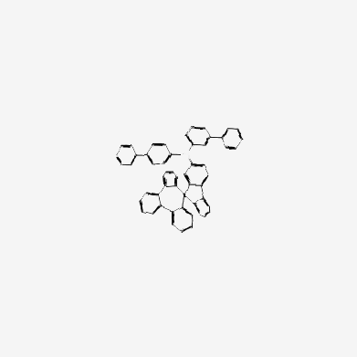 c1ccc(-c2ccc(N(c3cccc(-c4ccccc4)c3)c3ccc4c(c3)C3(c5ccccc5-c5ccccc5-c5ccccc53)c3ccccc3-4)cc2)cc1